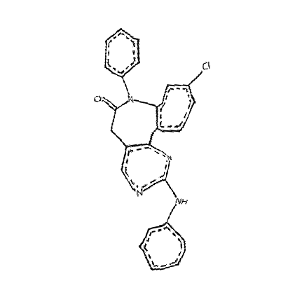 O=C1Cc2cnc(Nc3ccccc3)nc2-c2ccc(Cl)cc2N1c1ccccc1